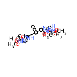 COC(=O)N[C@H](C(=O)N1CCC[C@H]1c1ncc(C#Cc2ccc(-c3ccc4nc([C@@H]5CCCN5C(=O)[C@@H](NC(=O)OC)C(C)C)[nH]c(=O)c4c3)c3c2CC2(CCCC2)C3)[nH]1)C(C)C